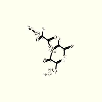 O=C([O-])C(=O)[O-].O=C([O-])C(=O)[O-].O=C([O-])C(=O)[O-].OO.[NH4+].[Nb+5]